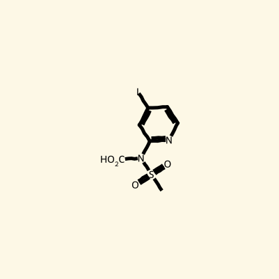 CS(=O)(=O)N(C(=O)O)c1cc(I)ccn1